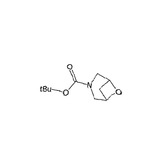 CC(C)(C)OC(=O)N1CC2CC(C1)O2